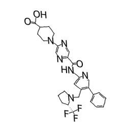 O=C(Nc1cc(CN2CCC[C@H]2C(F)(F)F)c(-c2ccccc2)cn1)c1cnc(N2CCC(C(=O)O)CC2)cn1